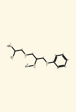 CCCCC(CC)COCC(COc1ccccc1)OC(C)C